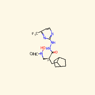 O=CN(O)C[C@H](CC1C2CCC1CC2)C(=O)NNc1nccc(C(F)(F)F)n1